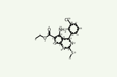 CCOC(=O)c1sc2nc(SC)nc(-c3cccc(Cl)c3)c2c1N